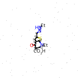 CCNN=Cc1cc2c(=O)c(C(=O)O)cn(CC)c2s1